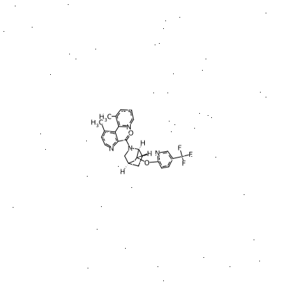 Cc1cccnc1-c1c(C)ccnc1C(=O)N1C[C@@H]2CC[C@H]1[C@H](Oc1ccc(C(F)(F)F)cn1)C2